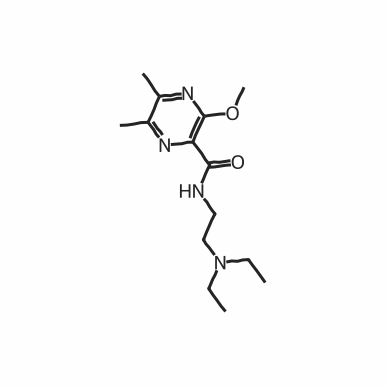 CCN(CC)CCNC(=O)c1nc(C)c(C)nc1OC